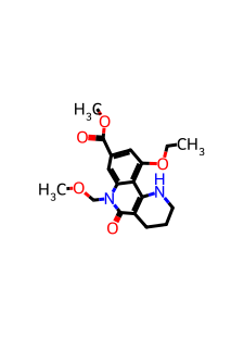 CCOc1cc(C(=O)OC)cc2c1c1c(c(=O)n2COC)CCCN1